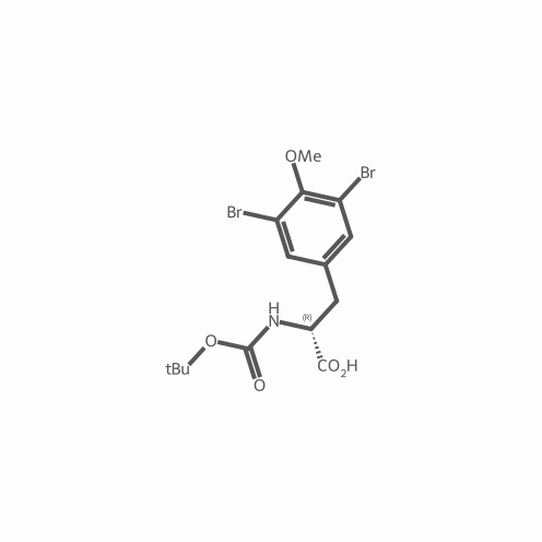 COc1c(Br)cc(C[C@@H](NC(=O)OC(C)(C)C)C(=O)O)cc1Br